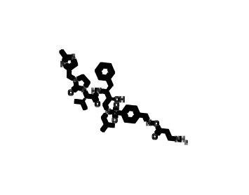 Cc1nc(CN2CCN([C@H](C(=O)N[C@@H](Cc3ccccc3)[C@@H](O)CN(CC(C)C)S(=O)(=O)c3ccc(C=NOC(=O)CCN)cc3)C(C)C)C2=O)cs1